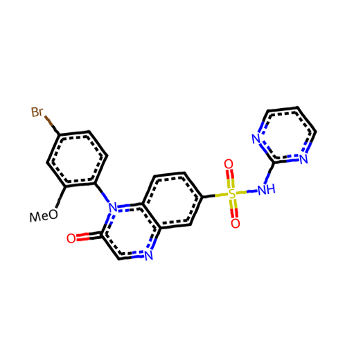 COc1cc(Br)ccc1-n1c(=O)cnc2cc(S(=O)(=O)Nc3ncccn3)ccc21